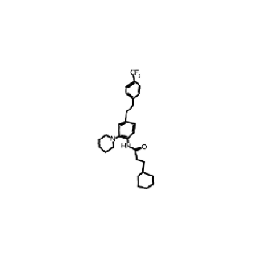 O=C(CCC1CCCCC1)Nc1ccc(CCc2ccc(C(F)(F)F)cc2)cc1N1CCCCC1